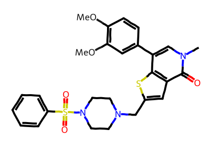 COc1ccc(-c2cn(C)c(=O)c3cc(CN4CCN(S(=O)(=O)c5ccccc5)CC4)sc23)cc1OC